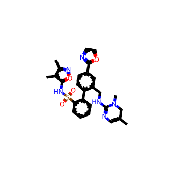 CC1=CN=C(NCc2cc(-c3ncco3)ccc2-c2ccccc2S(=O)(=O)Nc2onc(C)c2C)N(C)C1